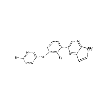 Clc1c(Sc2cnc(Br)cn2)cccc1-c1cnc2[nH]ccc2n1